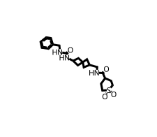 O=C(NCc1ccccc1)NC1CC2(CC(CNC(=O)C3CCS(=O)(=O)CC3)C2)C1